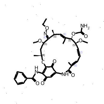 CCO/N=C1/[C@@H](OC)C[C@H](C)CC2=C(NC(=O)c3ccccc3)C(=O)C=C(NC(=O)/C(C)=C/C=C\[C@H](OC)[C@@H](OC(N)=O)/C(C)=C/[C@@H]1C)C2=O